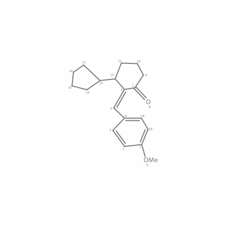 COc1ccc(C=C2C(=O)CCCC2C2CCCC2)cc1